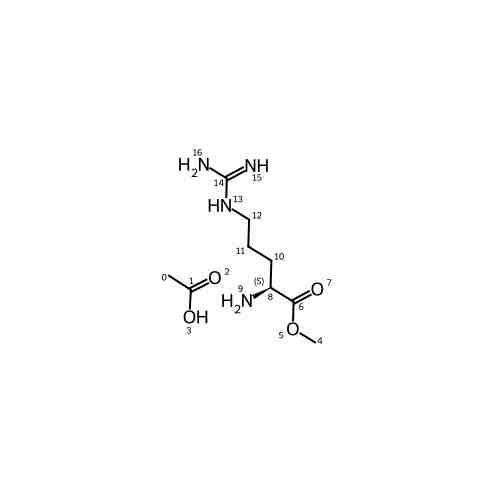 CC(=O)O.COC(=O)[C@@H](N)CCCNC(=N)N